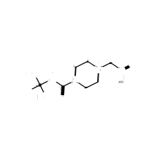 CC(C)(C)OC(=O)N1CCN(C[SH](=O)=O)CC1